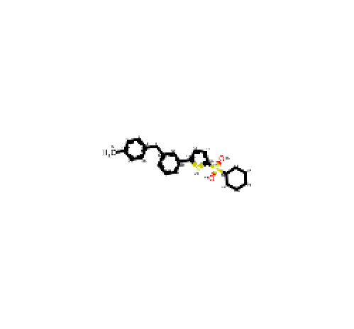 Cc1ccc(Cc2cccc(-c3ccc(S(=O)(=O)C4CCCCC4)s3)c2)cc1